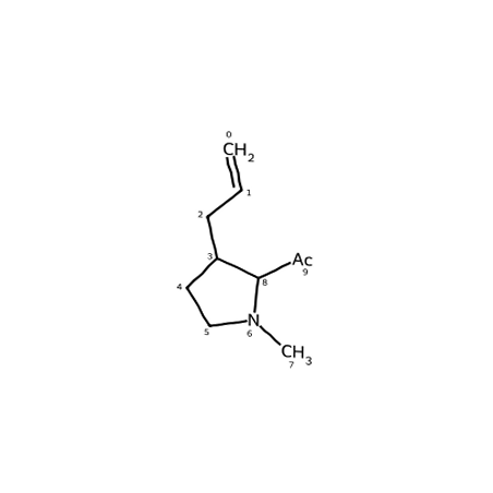 C=CCC1CCN(C)C1C(C)=O